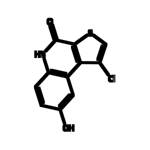 O=c1[nH]c2ccc(O)cc2c2c(Cl)csc12